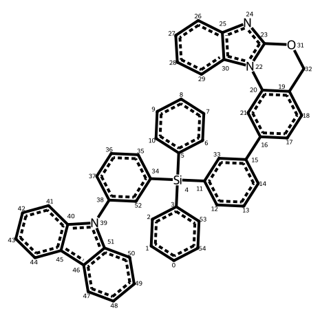 c1ccc([Si](c2ccccc2)(c2cccc(-c3ccc4c(c3)-n3c(nc5ccccc53)OC4)c2)c2cccc(-n3c4ccccc4c4ccccc43)c2)cc1